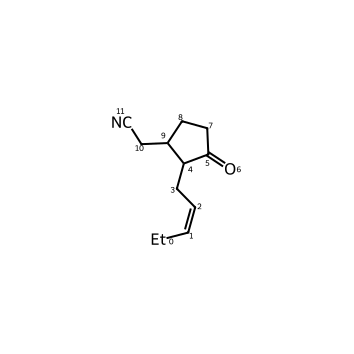 CC/C=C\CC1C(=O)CCC1CC#N